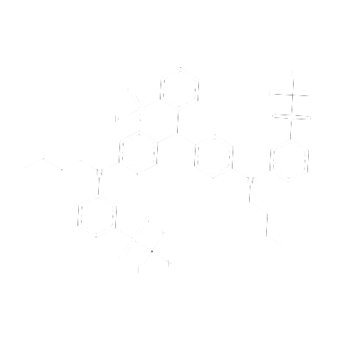 CCCCN(c1ccc(C(c2ccc(N(CCCC)c3cccc(S(=O)(=O)C(F)(F)F)c3)cc2)c2ccccc2S(=O)(=O)O)cc1)c1cccc(S(=O)(=O)C(F)(F)F)c1